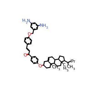 CC(C)C(C)C1CCC2C3CC=C4CC(Oc5ccc(C(=O)/C=C/c6ccc(OCc7cc(N)cc(N)c7)cc6)cc5)CCC4(C)C3CCC12C